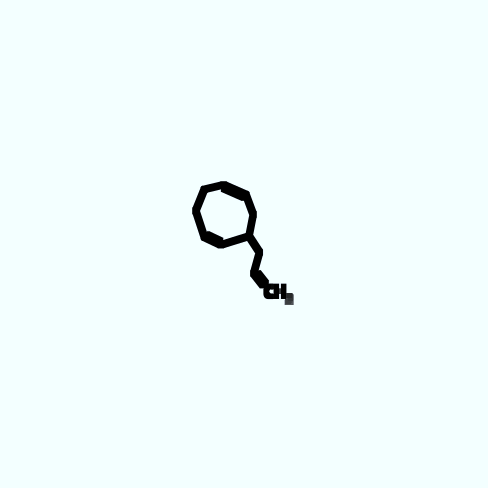 C=CCC1C=CCCC=CC1